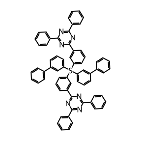 c1ccc(-c2cccc(S(c3cccc(-c4ccccc4)c3)(c3cccc(-c4nc(-c5ccccc5)nc(-c5ccccc5)n4)c3)c3cccc(-c4nc(-c5ccccc5)nc(-c5ccccc5)n4)c3)c2)cc1